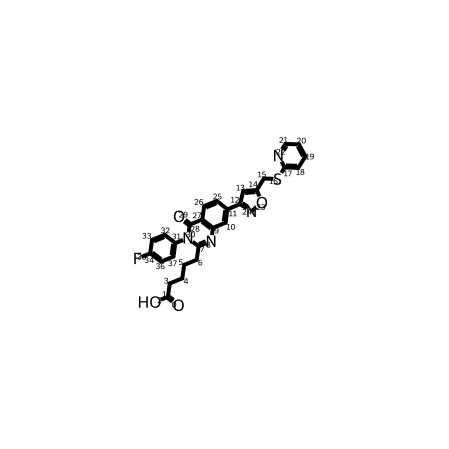 O=C(O)CCCCc1nc2cc(-c3cc(CSc4ccccn4)on3)ccc2c(=O)n1-c1ccc(F)cc1